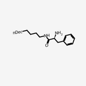 CCCCCCCCCCCCCCNC(=O)[C@@H](N)Cc1ccccc1